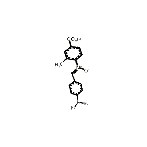 CCN(CC)c1ccc(C=[N+]([O-])c2ccc(C(=O)O)cc2C)cc1